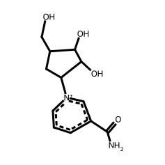 NC(=O)c1ccc[n+](C2CC(CO)C(O)C2O)c1